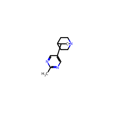 Cc1ncc(C2CN3CCC2CC3)cn1